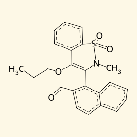 CCCOC1=C(c2c(C=O)ccc3ccccc23)N(C)S(=O)(=O)c2ccccc21